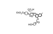 CCOC(=O)N1CCN(C(=O)[C@H](CCC(=O)O)NC(=O)c2cc(OCC(=O)N3CC[C@H](O)C3)c3ccc(C)cc3n2)CC1